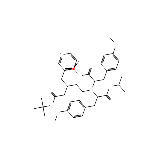 COc1ccc(CC(C(=O)OC(C)C)N(CCC(CC(=O)OC(C)(C)C)Cc2cccnc2)C(Cc2ccc(OC)cc2)C(=O)OC(C)C)cc1